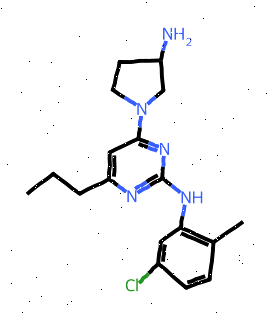 CCCc1cc(N2CCC(N)C2)nc(Nc2cc(Cl)ccc2C)n1